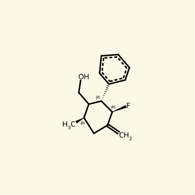 C=C1C[C@@H](C)C(CO)[C@H](c2ccccc2)[C@H]1F